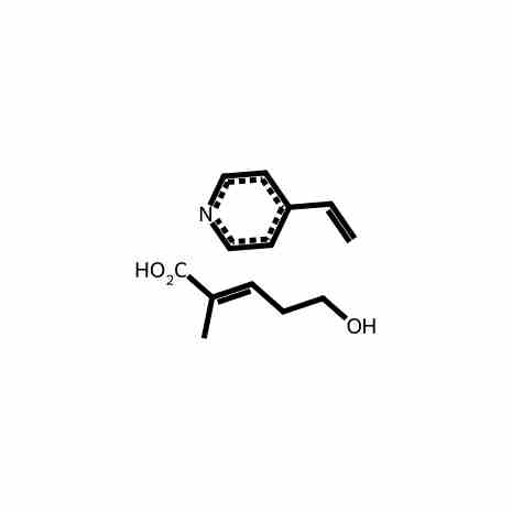 C=Cc1ccncc1.CC(=CCCO)C(=O)O